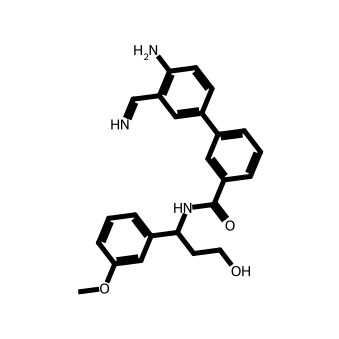 COc1cccc(C(CCO)NC(=O)c2cccc(-c3ccc(N)c(C=N)c3)c2)c1